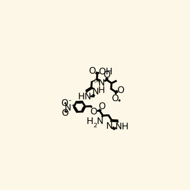 COC(=O)CC(C)C(=O)N[C@@H](Cc1c[nH]cn1)C(=O)O.NC(Cc1c[nH]cn1)C(=O)OCc1ccc([N+](=O)[O-])cc1